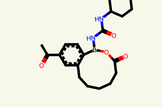 CC(=O)c1ccc2c(c1)CCCCCC(=O)OB2NC(=O)NC1CCCCC1